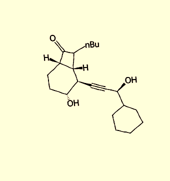 CCCCC1C(=O)[C@H]2CC[C@@H](O)[C@H](C#C[C@@H](O)C3CCCCC3)[C@@H]12